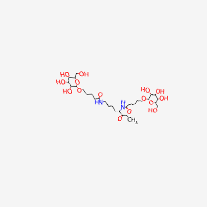 CCC(=O)[C@H](CCCCNC(=O)CCCCOC1OC(CO)C(O)C(O)C1O)NC(=O)CCCCOC1OC(CO)C(O)C(O)C1O